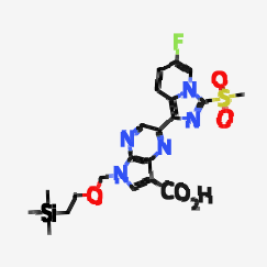 C[Si](C)(C)CCOCn1cc(C(=O)O)c2nc(-c3nc(S(C)(=O)=O)n4cc(F)ccc34)cnc21